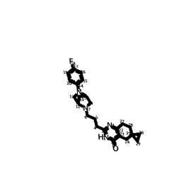 O=c1[nH]c(CCCN2CC3CC2CN3c2ccc(F)cc2)nc2c1CC1(CC2)CC1